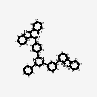 c1ccc(-c2cc(-c3cccc(-c4cccc5c4sc4ccccc45)c3)nc(-c3ccc(-c4nc5ccccc5c5oc6ccccc6c45)cc3)n2)cc1